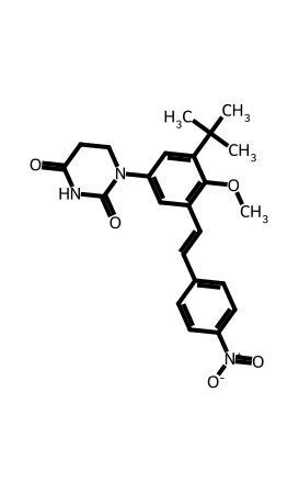 COc1c(C=Cc2ccc([N+](=O)[O-])cc2)cc(N2CCC(=O)NC2=O)cc1C(C)(C)C